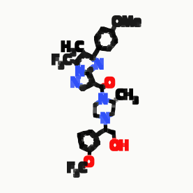 COc1ccc(-c2nc3c(C(=O)N4CCN([C@@H](CO)c5cccc(OC(F)(F)F)c5)C[C@H]4C)cnn3c(C(F)(F)F)c2C)cc1